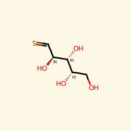 OC[C@H](O)[C@@H](O)[C@@H](O)C=S